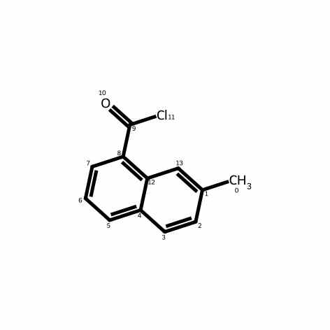 Cc1ccc2cccc(C(=O)Cl)c2c1